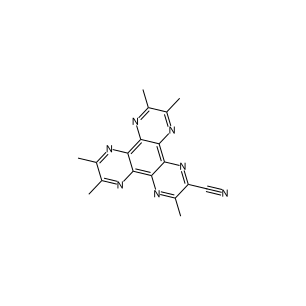 Cc1nc2c3nc(C)c(C)nc3c3nc(C#N)c(C)nc3c2nc1C